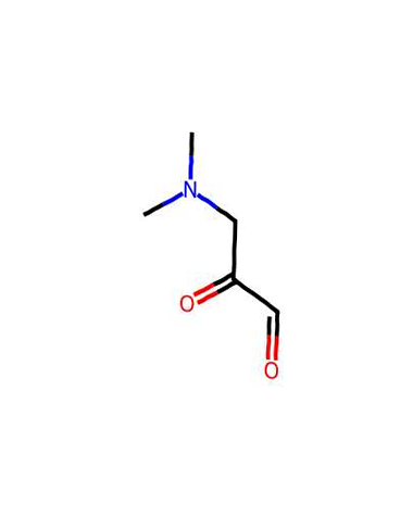 CN(C)CC(=O)C=O